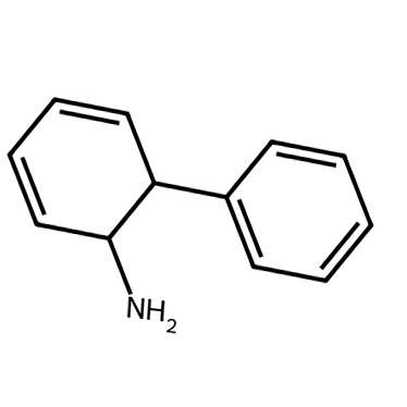 NC1C=CC=CC1c1ccccc1